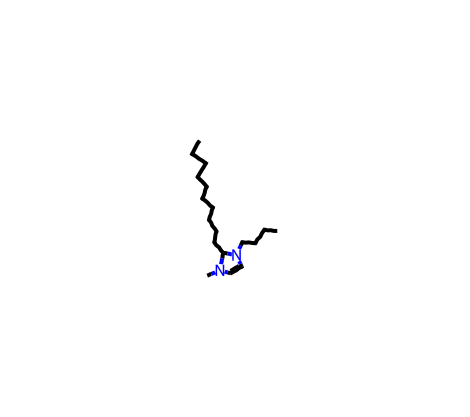 CCCCCCCCCCC1N(C)C=CN1CCCC